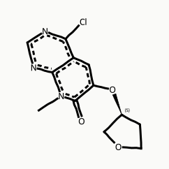 Cn1c(=O)c(O[C@H]2CCOC2)cc2c(Cl)ncnc21